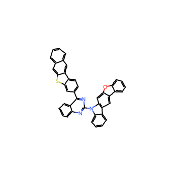 c1ccc2cc3c(cc2c1)sc1cc(-c2nc(-n4c5ccccc5c5cc6c(cc54)oc4ccccc46)nc4ccccc24)ccc13